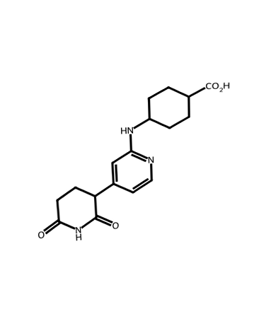 O=C1CCC(c2ccnc(NC3CCC(C(=O)O)CC3)c2)C(=O)N1